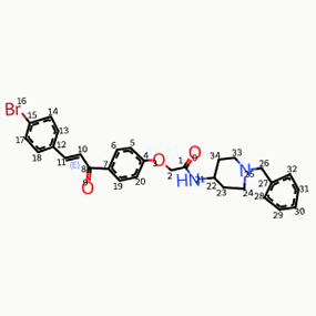 O=C(COc1ccc(C(=O)/C=C/c2ccc(Br)cc2)cc1)NC1CCN(Cc2ccccc2)CC1